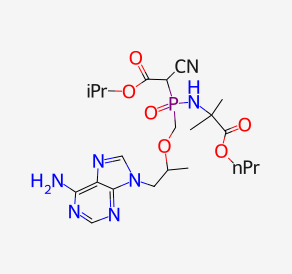 CCCOC(=O)C(C)(C)NP(=O)(COC(C)Cn1cnc2c(N)ncnc21)C(C#N)C(=O)OC(C)C